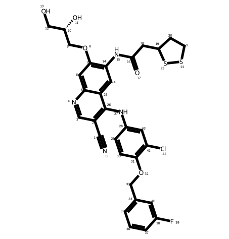 N#Cc1cnc2cc(OC[C@@H](O)CO)c(NC(=O)CC3CCSS3)cc2c1Nc1ccc(OCc2cccc(F)c2)c(Cl)c1